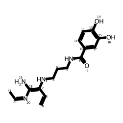 C=C/C(NCCCNC(=O)c1ccc(O)c(O)c1)=C(N)\N=C/C